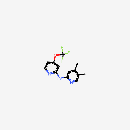 Cc1cnc(Nc2cc(OC(F)(F)F)ccn2)cc1C